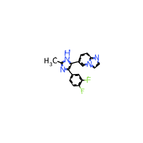 Cc1nc(-c2ccc(F)c(F)c2)c(-c2ccc3nccn3c2)[nH]1